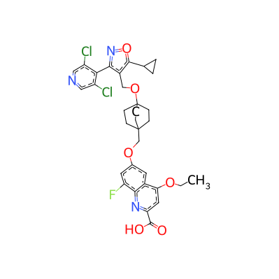 CCOc1cc(C(=O)O)nc2c(F)cc(OCC34CCC(OCc5c(-c6c(Cl)cncc6Cl)noc5C5CC5)(CC3)CC4)cc12